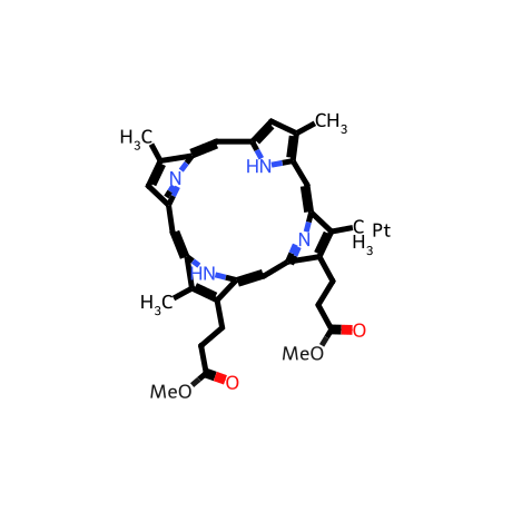 COC(=O)CCC1=C(C)c2cc3[nH]c(cc4nc(cc5[nH]c(cc1n2)c(CCC(=O)OC)c5C)C=C4C)cc3C.[Pt]